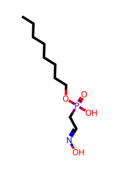 CCCCCCCCOP(=O)(O)CC=NO